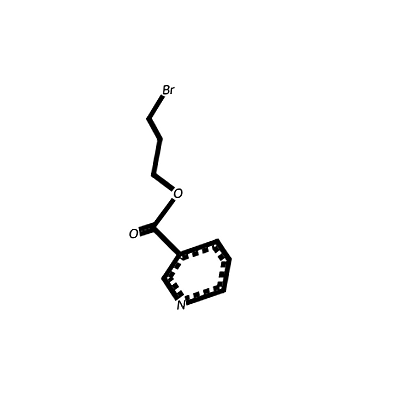 O=C(OCCCBr)c1cccnc1